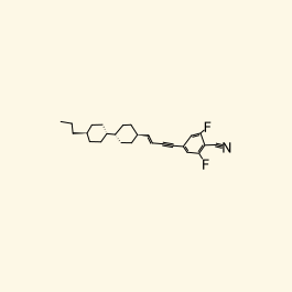 CCC[C@H]1CC[C@H]([C@H]2CC[C@H](C=CC#Cc3cc(F)c(C#N)c(F)c3)CC2)CC1